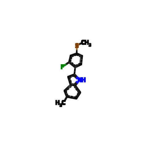 CSc1ccc(-c2cc3cc(C)ccc3[nH]2)c(F)c1